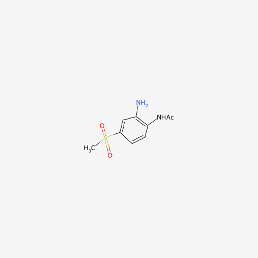 CC(=O)Nc1ccc(S(C)(=O)=O)cc1N